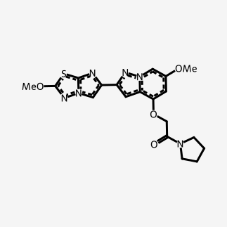 COc1cc(OCC(=O)N2CCCC2)c2cc(-c3cn4nc(OC)sc4n3)nn2c1